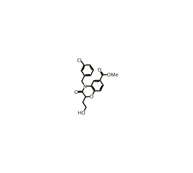 COC(=O)c1ccc2c(c1)N(Cc1cccc(Cl)c1)C(=O)C(CCO)O2